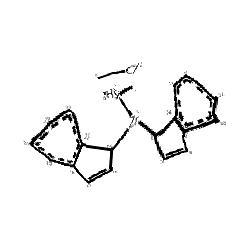 CCl.C[SiH](C)[Zr]([CH]1C=Cc2ccccc21)[CH]1C=Cc2ccccc21